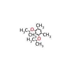 Cc1cc(C)c(OC(C)C)cc1OC(C)C